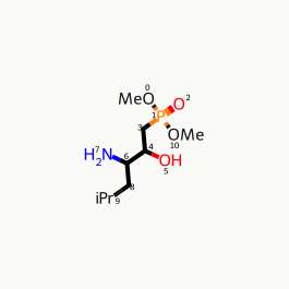 COP(=O)(CC(O)C(N)CC(C)C)OC